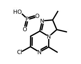 CC1=NC(Cl)=CC2=NC(C)C(C)N12.O=P(=O)O